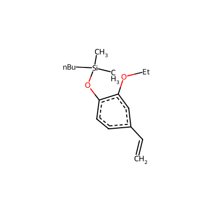 C=Cc1ccc(O[Si](C)(C)CCCC)c(OCC)c1